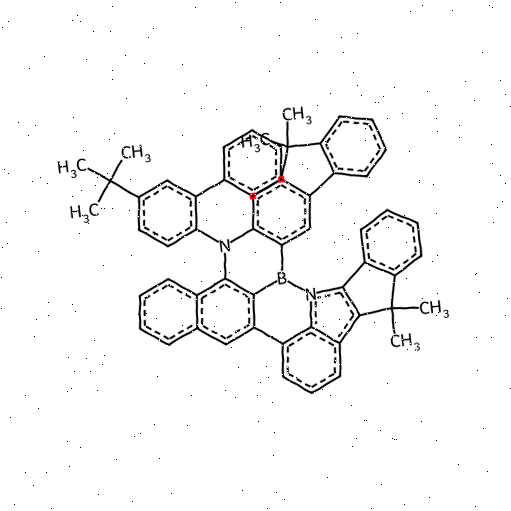 CC(C)(C)c1ccc(N2c3cc4c(cc3B3c5c(cc6ccccc6c52)-c2cccc5c6c(n3c25)-c2ccccc2C6(C)C)-c2ccccc2C4(C)C)c(-c2ccccc2)c1